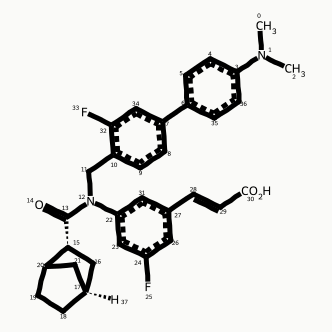 CN(C)c1ccc(-c2ccc(CN(C(=O)[C@@H]3C[C@H]4CCC3C4)c3cc(F)cc(/C=C/C(=O)O)c3)c(F)c2)cc1